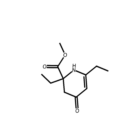 CCC1=CC(=O)CC(CC)(C(=O)OC)N1